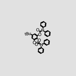 Cc1cc(C(C)(C)C)cc(OC(=O)N(c2ccccc2)c2ccccc2)c1OC(=O)N(c1ccccc1)c1ccccc1